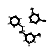 Brc1cncc(Br)c1.Brc1cncc(NCc2ccccc2)c1